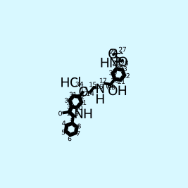 Cc1c(-c2ccccc2)[nH]c2cc(OCCNC[C@H](O)c3cccc(NS(C)(=O)=O)c3)ccc12.Cl